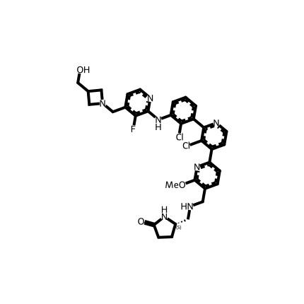 COc1nc(-c2ccnc(-c3cccc(Nc4nccc(CN5CC(CO)C5)c4F)c3Cl)c2Cl)ccc1CNC[C@@H]1CCC(=O)N1